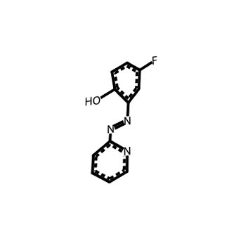 Oc1ccc(F)cc1/N=N/c1ccccn1